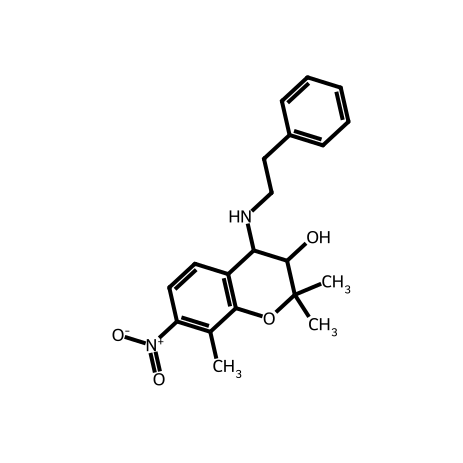 Cc1c([N+](=O)[O-])ccc2c1OC(C)(C)C(O)C2NCCc1ccccc1